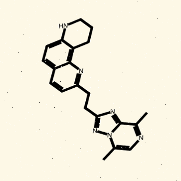 Cc1ncc(C)n2nc(CCc3ccc4ccc5c(c4n3)CCCN5)nc12